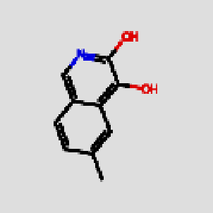 Cc1ccc2cnc(O)c(O)c2c1